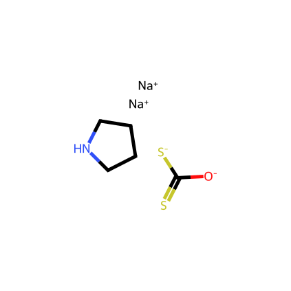 C1CCNC1.[Na+].[Na+].[O-]C(=S)[S-]